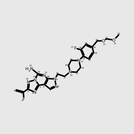 C=C(F)c1nc2c3cnn(CCN4CCN(c5ccc(COCOC)cc5F)CC4)c3nc(N)n2n1